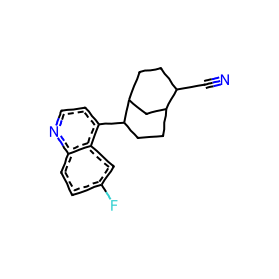 N#CC1CCC2CC1CCC2c1ccnc2ccc(F)cc12